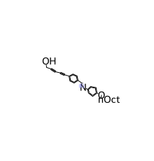 CCCCCCCCOc1ccc(/N=C/c2ccc(C#CC#CCO)cc2)cc1